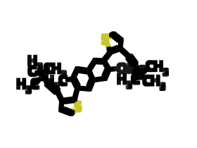 COc1cc2cc(-c3sccc3C#C[Si](C)(C)C)c(C)cc2cc1-c1sccc1C#C[Si](C)(C)C